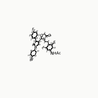 CC(=O)Nc1cc(F)c(CCN2C(=O)COC2c2cn(-c3ccc(Br)cc3)nc2-c2ccc(F)cc2)c(F)c1